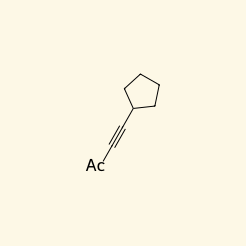 CC(=O)C#CC1CCCC1